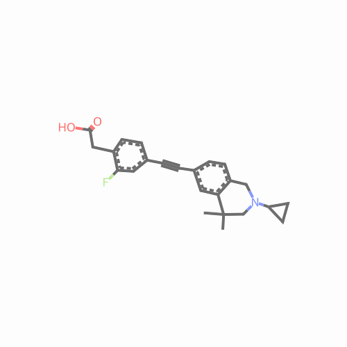 CC1(C)CN(C2CC2)Cc2ccc(C#Cc3ccc(CC(=O)O)c(F)c3)cc21